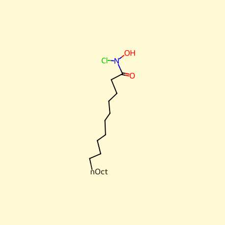 CCCCCCCCCCCCCCCCCC(=O)N(O)Cl